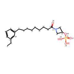 CCc1cccc(CCCCCCCCC(=O)N2CC(OP(=O)(O)O)C2)c1